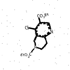 CCOC(=O)c1cnc2c(c1Cl)CN(C(=O)OCC)CC2